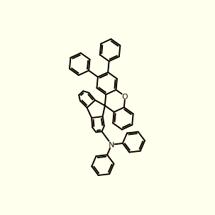 c1ccc(-c2cc3c(cc2-c2ccccc2)C2(c4ccccc4O3)c3ccccc3-c3ccc(N(c4ccccc4)c4ccccc4)cc32)cc1